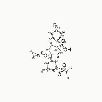 CC(C)S(=O)(=O)c1cc(F)cc([C@]2(OCC3CC3)CC[C@@](C(=O)O)(c3ccc(F)cc3)CC2)c1